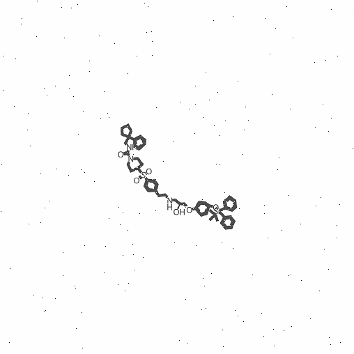 CC(C)(C)[Si](Oc1ccc(OC[C@@H](O)CNCCc2ccc(S(=O)(=O)C3CCN(C(=O)NCC4(c5ccccc5)CCCC4)CC3)cc2)cc1)(c1ccccc1)c1ccccc1